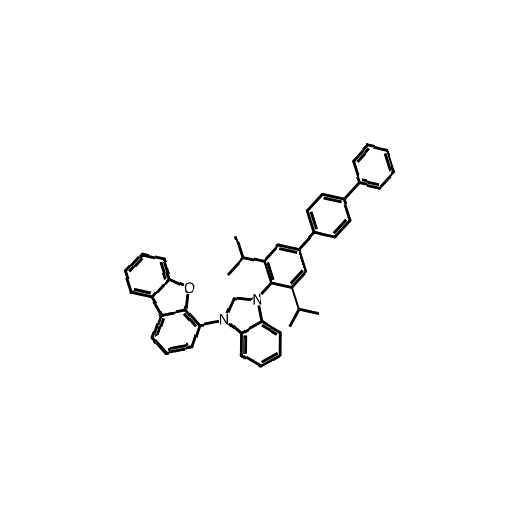 CC(C)c1cc(-c2ccc(-c3ccccc3)cc2)cc(C(C)C)c1N1CN(c2cccc3c2oc2ccccc23)c2ccccc21